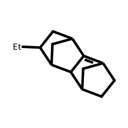 CCC1CC2CC1C1C2=C2CCC1C2